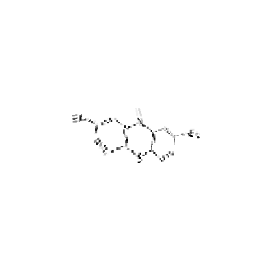 CCc1ccc2c(c1)Nc1cc(CC)ccc1S2